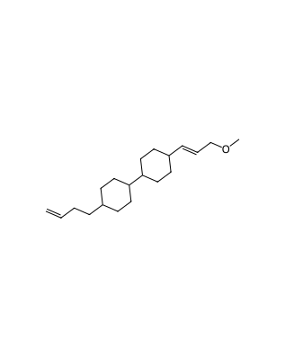 C=CCCC1CCC(C2CCC(/C=C/COC)CC2)CC1